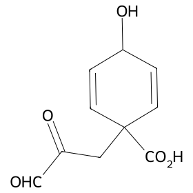 O=CC(=O)CC1(C(=O)O)C=CC(O)C=C1